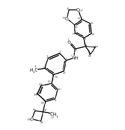 Cc1ccc(NC(=O)C2(c3ccc4c(c3)OCO4)CC2)cc1-c1ccc(C2(C)COC2)cc1